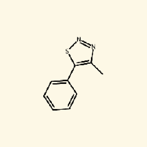 Cc1nnsc1-c1ccccc1